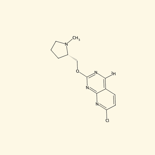 [2H]c1nc(OC[C@@H]2CCCN2C)nc2nc(Cl)ccc12